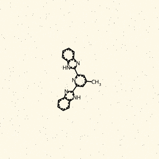 Cc1cc(-c2nc3ccccc3[nH]2)nc(-c2nc3ccccc3[nH]2)c1